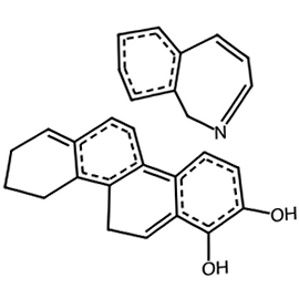 C1=Cc2ccccc2CN=C1.Oc1ccc2c(c1O)=CCc1c3c(ccc1=2)=CCCC3